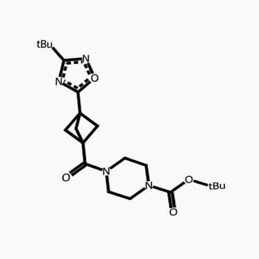 CC(C)(C)OC(=O)N1CCN(C(=O)C23CC(c4nc(C(C)(C)C)no4)(C2)C3)CC1